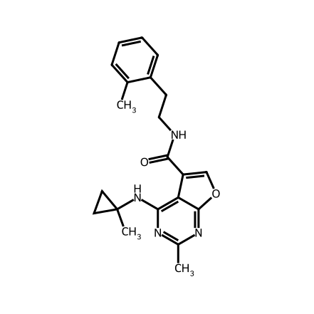 Cc1nc(NC2(C)CC2)c2c(C(=O)NCCc3ccccc3C)coc2n1